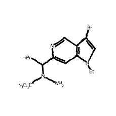 CCn1cc(Br)c2cnc(C([C](C)C)N(N)C(=O)O)cc21